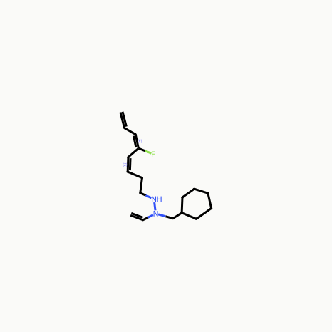 C=C/C=C(F)\C=C/CCNN(C=C)CC1CCCCC1